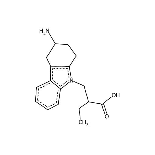 CCC(Cn1c2c(c3ccccc31)CC(N)CC2)C(=O)O